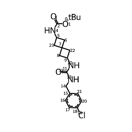 CC(C)(C)OC(=O)NC1CC2(CC(NC(=O)NCc3ccc(Cl)cc3)C2)C1